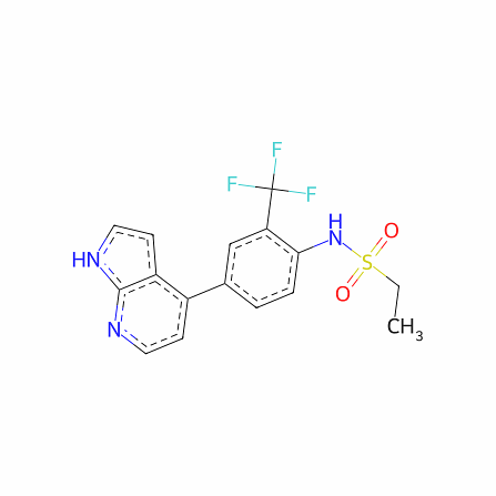 CCS(=O)(=O)Nc1ccc(-c2ccnc3[nH]ccc23)cc1C(F)(F)F